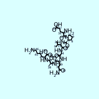 CC(C)[C@H](NC(=O)[C@@H]1CCCN1C(=O)[C@@H](N)CCC(=O)O)C(=O)NCC(=O)N[C@@H](CCC(N)=O)C(=O)N[C@@H](C)C(=O)N[C@@H](CCCCN)C(=O)O